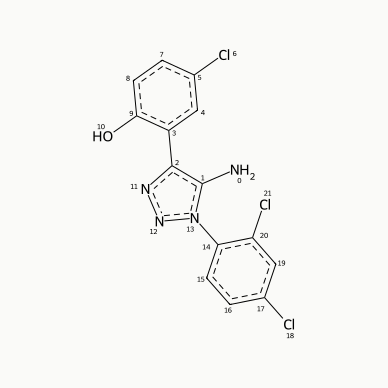 Nc1c(-c2cc(Cl)ccc2O)nnn1-c1ccc(Cl)cc1Cl